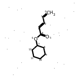 C=CC=CC(=O)OC1CCCCC1